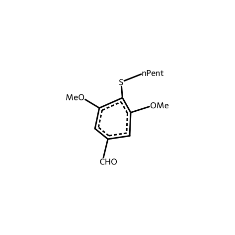 CCCCCSc1c(OC)cc(C=O)cc1OC